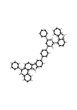 c1ccc(-c2cc(-c3ccc(-c4ccc5oc6c(ccc7c(-c8ccccc8)nc8ccccc8c76)c5c4)cc3)nc(-c3cccc4sc5ccccc5c34)n2)cc1